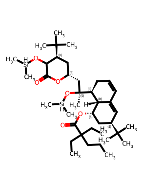 CCCC(CC)(CC)C(=O)O[C@H]1C[C@H](C(C)(C)C)C=C2C=CC[C@H]([C@](C)(C[C@H]3C[C@H](C(C)(C)C)C(O[SiH](C)C)C(=O)O3)O[SiH](C)C)[C@H]21